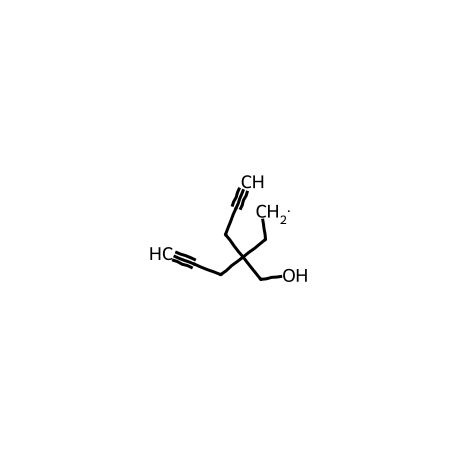 C#CCC(C[CH2])(CO)CC#C